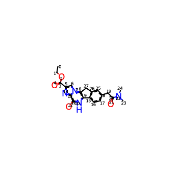 CCOC(=O)c1cn2c3c([nH]c(=O)c2n1)-c1ccc(CC(=O)N(C)C)cc1C3